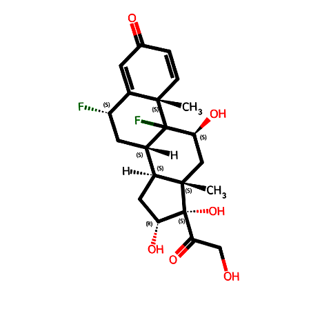 C[C@]12C=CC(=O)C=C1[C@@H](F)C[C@H]1[C@@H]3C[C@@H](O)[C@](O)(C(=O)CO)[C@@]3(C)C[C@H](O)C12F